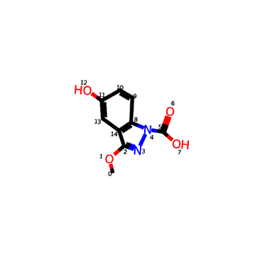 COc1nn(C(=O)O)c2ccc(O)cc12